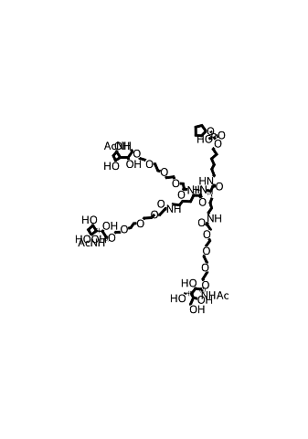 CC(=O)NC(OCCOCCOCCOCC(=O)NC(CCCCNC(=O)COCCOCCOCCO[C@H](NC(C)=O)C(O)[C@@H]1C(O)CC1(O)O)C(=O)N[C@@H](CCCCNC(=O)COCCOCCOCCO[C@@H](NC(C)=O)C(O)[C@@H](CO)C(O)CO)C(=O)NCCCCCCOP(=O)(O)OC1CCCC1)C(O)C1C(O)CC1O